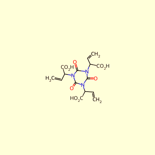 C=CC(C(=O)O)n1c(=O)n(C(C=C)C(=O)O)c(=O)n(C(C=C)C(=O)O)c1=O